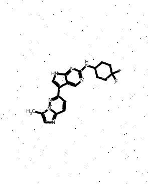 Cc1cnc2ccc(-c3c[nH]c4nc(NC5CCC(F)(F)CC5)ncc34)nn12